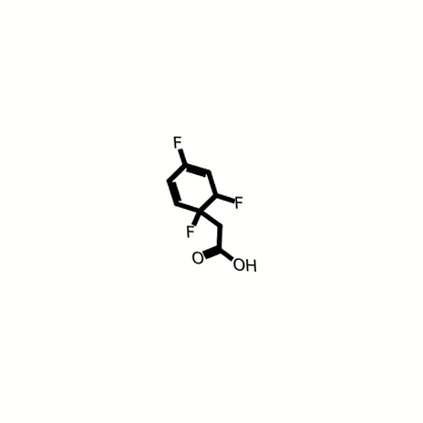 O=C(O)CC1(F)C=CC(F)=CC1F